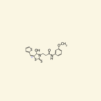 COc1cccc(NC(=O)CCN2C(=S)S/C(=C/c3cccs3)C2O)c1